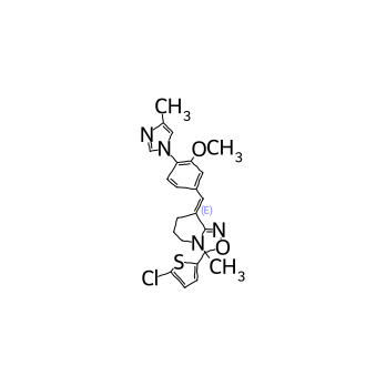 COc1cc(/C=C2\CCCN3C2=NOC3(C)c2ccc(Cl)s2)ccc1-n1cnc(C)c1